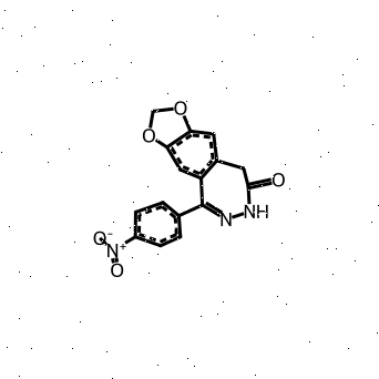 O=C1Cc2cc3c(cc2C(c2ccc([N+](=O)[O-])cc2)=NN1)OCO3